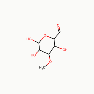 COC1C(O)C(O)OC(C=O)C1O